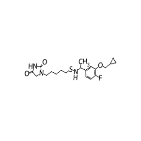 CC(NSCCCCCN1CC(=O)NC1=O)c1ccc(F)c(OCC2CC2)c1